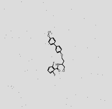 O=C(NC(CCl)CCOc1ccc(-c2ccc(OC(F)(F)F)cc2)cc1)c1c(F)cccc1F